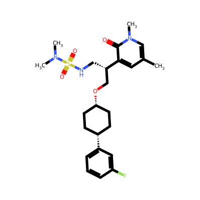 Cc1cc([C@@H](CNS(=O)(=O)N(C)C)CO[C@H]2CC[C@@H](c3cccc(F)c3)CC2)c(=O)n(C)c1